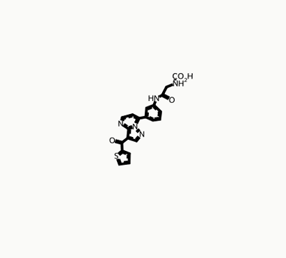 O=C(O)NCC(=O)Nc1cccc(-c2ccnc3c(C(=O)c4cccs4)cnn23)c1